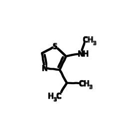 CNc1scnc1C(C)C